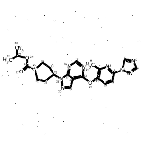 Cc1nc(-n2cncn2)ccc1Oc1ncnc2c1cnn2C1CCN(C(=O)OC(C)C)CC1